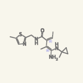 C/C=C(C(=O)NCc1ncc(C)s1)/C(C)=C(/N)NC1(C)CC1